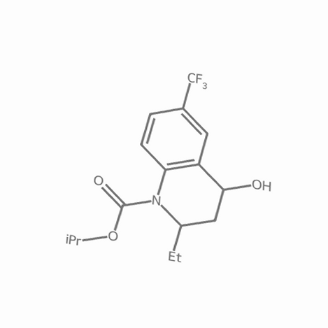 CCC1CC(O)c2cc(C(F)(F)F)ccc2N1C(=O)OC(C)C